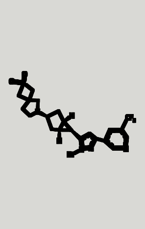 CCn1nc(-c2cncc(C(F)(F)F)c2)cc1[C@H]1[C@@H]2C[C@@H](N3CCC4(C3)CS(=O)(=O)C4)C[C@@H]21